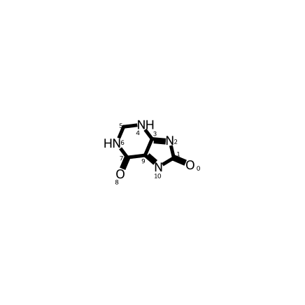 O=C1N=C2NCNC(=O)C2=N1